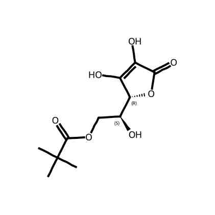 CC(C)(C)C(=O)OC[C@H](O)[C@H]1OC(=O)C(O)=C1O